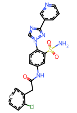 NS(=O)(=O)c1cc(NC(=O)Cc2ccccc2Cl)ccc1-n1cnc(-c2cccnc2)n1